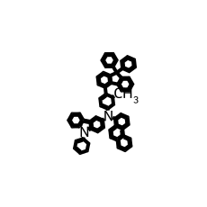 CC1CC(N(c2ccc3c(c2)c2ccccc2n3C2=CC=CCC2)c2cccc3c2ccc2ccccc23)=CC=C1c1cccc2c1-c1ccccc1C2(c1ccccc1)c1ccccc1